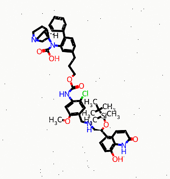 COc1cc(NC(=O)OCCCc2ccc(-c3ccccc3)c(N(C(=O)O)[C@H]3CN4CCC3CC4)c2)c(Cl)cc1CNC[C@@H](O[Si](C)(C)C(C)(C)C)c1ccc(O)c2[nH]c(=O)ccc12